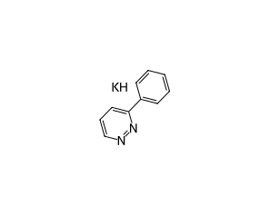 [KH].c1ccc(-c2cccnn2)cc1